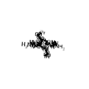 CC(C)OC(=O)OCOP1(=O)OCC2OC(n3cnc4c(N)ncnc43)C(OP(=O)(OCOC(=O)OC(C)C)OCC3OC(n4cnc5c(N)ncnc54)C(F)C3O1)C2O